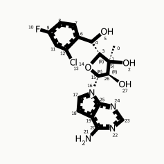 C[C@@]1(O)[C@@H](C(O)c2ccc(F)cc2Cl)O[C@@H](n2ccc3c(N)ncnc32)[C@@H]1O